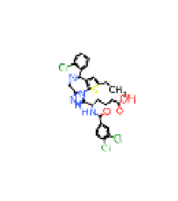 CCc1cc2c(s1)-n1c(nnc1[C@@H](CCCC(=O)O)NC(=O)c1ccc(Cl)c(Cl)c1)CN=C2c1ccccc1Cl